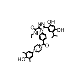 CCNC(=O)c1nnc(-c2cc(C(C)C)c(O)cc2O)n1-c1ccc(C(=O)N2CCN(c3cc(C)c(O)c(C)c3)CC2)cc1